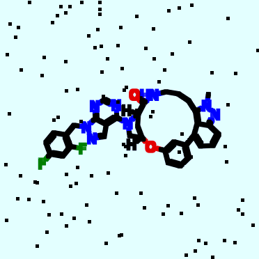 Cn1nc2cccc3c2c1CCCNC(=O)[C@@H]1C[C@@H](CN1c1ncnc2c1cnn2Cc1ccc(F)cc1F)Oc1cccc-3c1